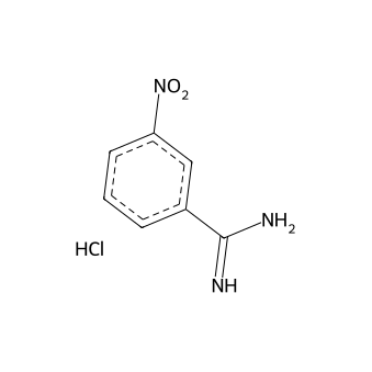 Cl.N=C(N)c1cccc([N+](=O)[O-])c1